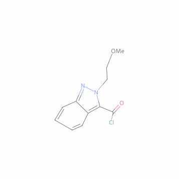 COCCn1nc2ccccc2c1C(=O)Cl